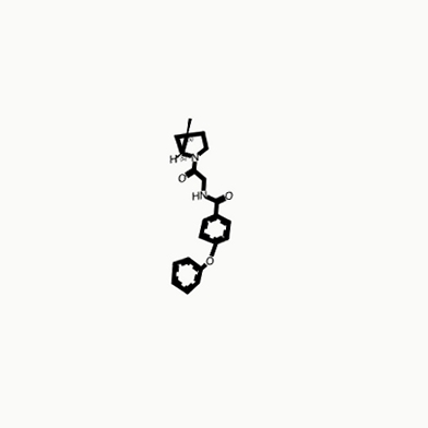 C[C@@]12CCN(C(=O)CNC(=O)c3ccc(Oc4ccccc4)cc3)[C@H]1C2